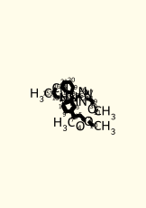 CCOC(=O)C[C@@H](C)c1ccc(N(CC(C)C)C2CCCCC2)c(Nc2nnc(COC)[nH]2)c1